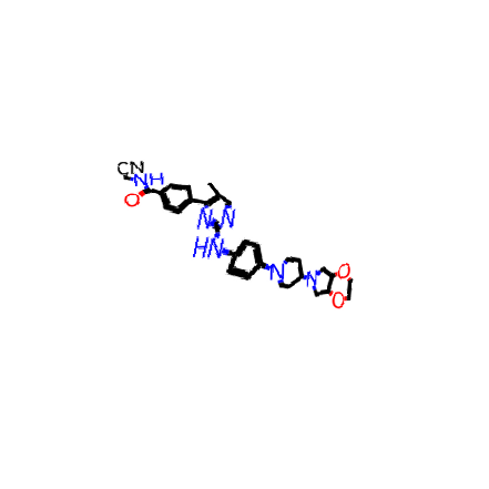 Cc1cnc(Nc2ccc(N3CCC(N4CC5OCCOC5C4)CC3)cc2)nc1-c1ccc(C(=O)NCC#N)cc1